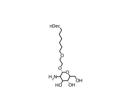 CCCCCCCCCCCCCCCCOCCO[C@@H]1OC(CO)[C@H](O)C(O)C1N